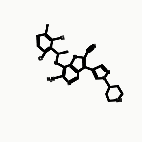 C[C@@H](Oc1c(N)ncc2c(-c3cnn(C4CCNCC4)c3)c(C#N)oc12)c1c(Cl)ccc(F)c1Cl